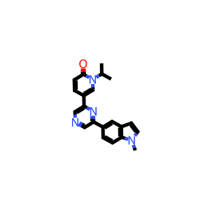 CC(C)n1cc(-c2cncc(-c3ccc4c(ccn4C)c3)n2)ccc1=O